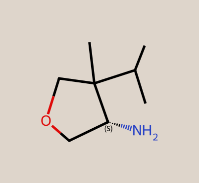 CC(C)C1(C)COC[C@H]1N